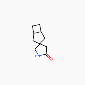 O=C1CC2(CN1)CC1CCC1C2